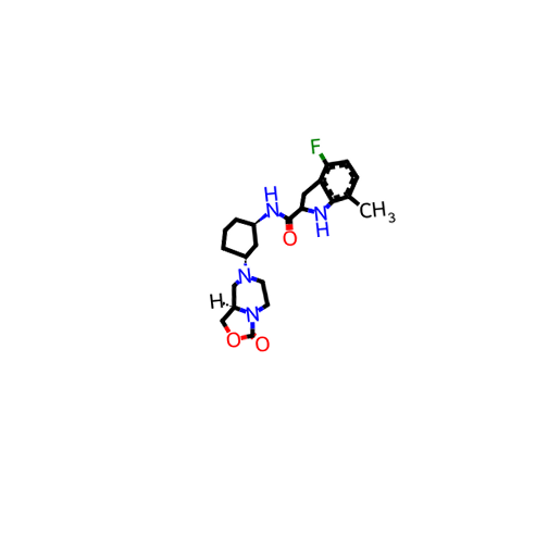 Cc1ccc(F)c2c1NC(C(=O)N[C@@H]1CCC[C@@H](N3CCN4C(=O)OC[C@H]4C3)C1)C2